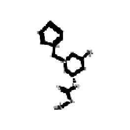 CC[C@H]1C[C@H](NC(=O)OC(C)(C)C)CN(Cc2ccccc2)C1